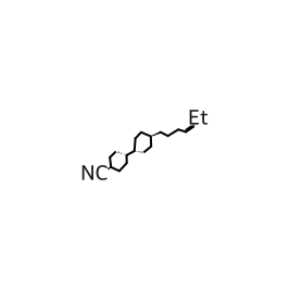 CC/C=C\CCC[C@H]1CC[C@H]([C@H]2CC[C@H](C#N)CC2)CC1